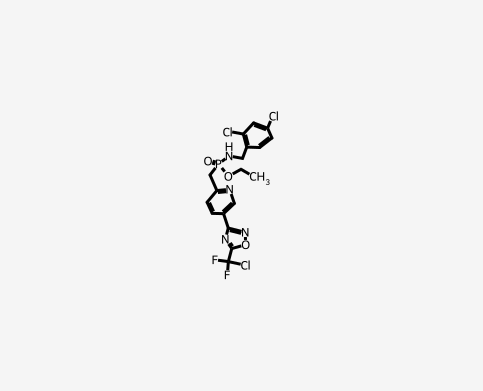 CCOP(=O)(Cc1ccc(-c2noc(C(F)(F)Cl)n2)cn1)NCc1ccc(Cl)cc1Cl